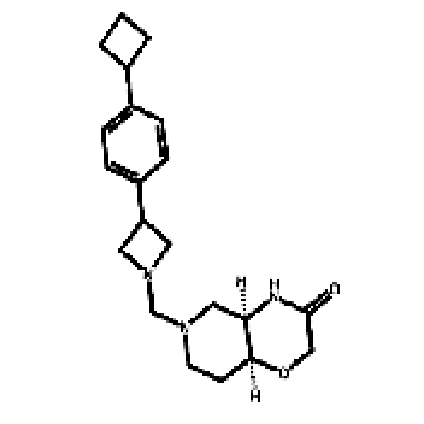 O=C1CO[C@H]2CCN(CN3CC(c4ccc(C5CCC5)cc4)C3)C[C@H]2N1